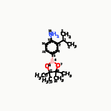 CC(C)c1cc(B2OC(C)(C)C(C)(C)O2)ccc1N